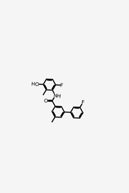 Cc1cc(C(=O)Nc2c(F)ccc(O)c2C)cc(-c2cccc(F)c2)c1